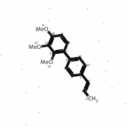 CC=Cc1ccc(-c2ccc(OC)c(OC)c2OC)cc1